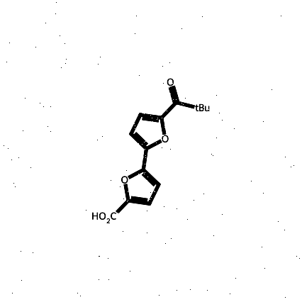 CC(C)(C)C(=O)c1ccc(-c2ccc(C(=O)O)o2)o1